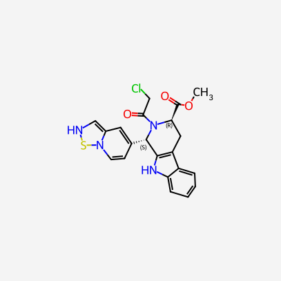 COC(=O)[C@H]1Cc2c([nH]c3ccccc23)[C@H](C2=CC3=CNSN3C=C2)N1C(=O)CCl